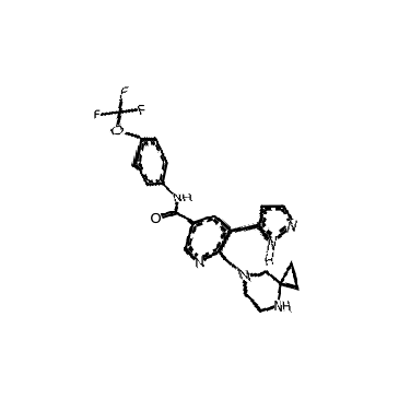 O=C(Nc1ccc(OC(F)(F)F)cc1)c1cnc(N2CCNC3(CC3)C2)c(-c2ccn[nH]2)c1